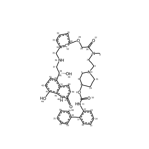 CN(CCN1CCC(OC(=O)Nc2ccccc2-c2ccccc2)CC1)C(=O)COc1cccc(CNC[C@H](O)c2ccc(O)c3[nH]c(=O)ccc23)c1